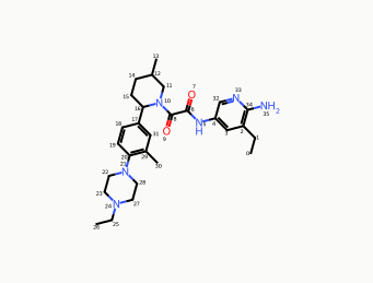 CCc1cc(NC(=O)C(=O)N2CC(C)CCC2c2ccc(N3CCN(CC)CC3)c(C)c2)cnc1N